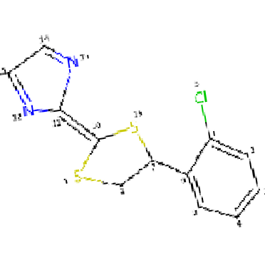 Clc1ccccc1C1CSC(=C2N=CC=N2)S1